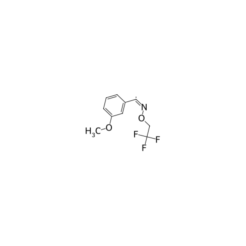 COc1cccc(/[C]=N\OCC(F)(F)F)c1